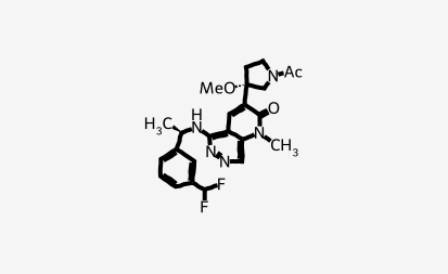 CO[C@]1(c2cc3c(N[C@H](C)c4cccc(C(F)F)c4)nncc3n(C)c2=O)CCN(C(C)=O)C1